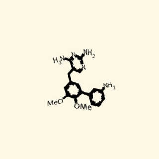 COc1cc(Cc2cnc(N)nc2N)cc(-c2cccc(N)c2)c1OC